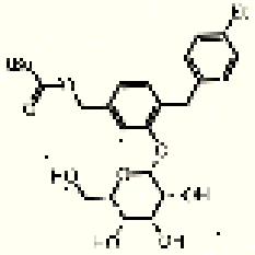 CCc1ccc(Cc2ccc(COC(=O)C(C)(C)C)cc2O[C@H]2O[C@H](CO)[C@@H](O)[C@H](O)[C@H]2O)cc1